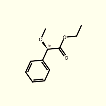 C[CH]OC(=O)[C@H](OC)c1ccccc1